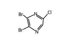 Clc1cnc(Br)c(Br)n1